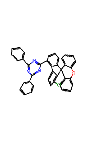 Clc1cccc2c1C1(c3ccccc3Oc3ccccc31)c1cccc(-c3nc(-c4ccccc4)nc(-c4ccccc4)n3)c1-2